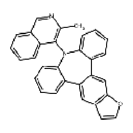 Cc1ncc2ccccc2c1N1c2ccccc2-c2cc3ccoc3cc2-c2ccccc21